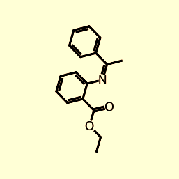 CCOC(=O)c1ccccc1N=C(C)c1ccccc1